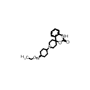 CCON=C1CCC(N2CCC3(CC2)OC(=O)Nc2ccccc23)CC1